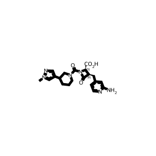 Cn1cc(C2CCCN(C(=O)N3C(=O)[C@H](Cc4ccnc(N)c4)[C@H]3C(=O)O)C2)cn1